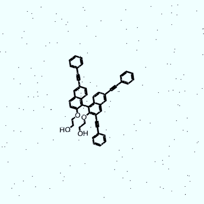 OCCOc1ccc2cc(C#Cc3ccccc3)ccc2c1-c1c(OCCO)c(C#Cc2ccccc2)cc2cc(C#Cc3ccccc3)ccc12